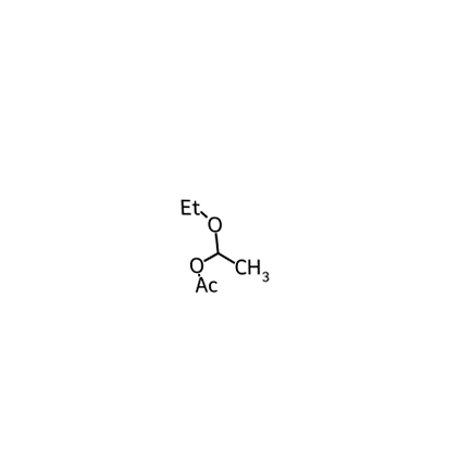 CCOC(C)OC(C)=O